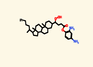 CC(C)CCCC(C)C1CCC2C3CCC4CC(C(CCC(=O)Oc5ccc(N)cc5N)OO)CCC4(C)C3CCC12C